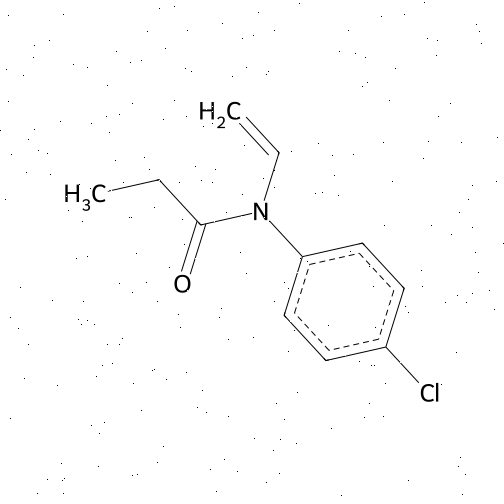 C=CN(C(=O)CC)c1ccc(Cl)cc1